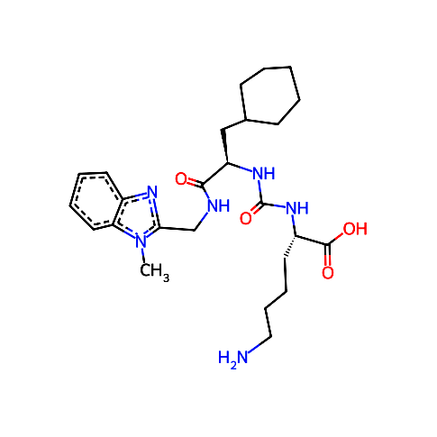 Cn1c(CNC(=O)[C@@H](CC2CCCCC2)NC(=O)N[C@@H](CCCCN)C(=O)O)nc2ccccc21